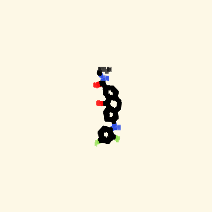 O=C(O)CNC(=O)c1ccc2c(c1)C(=O)c1ccc(Nc3ccc(F)cc3F)cc1CC2